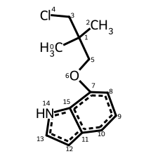 CC(C)(CCl)COc1cccc2cc[nH]c12